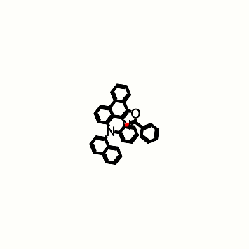 c1ccc(-c2nc3c(o2)c2ccccc2c2cccc(N(c4ccccc4)c4cccc5ccccc45)c23)cc1